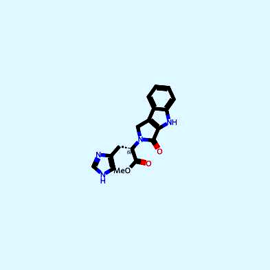 COC(=O)[C@H](Cc1c[nH]cn1)N1Cc2c([nH]c3ccccc23)C1=O